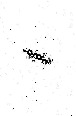 C#Cc1ccc2c(c1)[nH]c1c2c(=O)c2cc(OC)c(-c3cncc(S(=O)(=O)F)c3)cc2n1CC